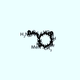 CNC(=O)CC1NC(=O)c2csc(n2)-c2ccc(-c3nc(C4=NC(C(=O)N5CCCC5C(N)=O)CO4)cs3)nc2-c2csc(n2)-c2csc(n2)C(C(O)c2ccccc2)NC(=O)CNC(=O)c2csc(n2)C(C(C)C)NC(=O)c2nc1sc2C